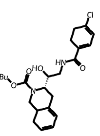 CC(C)(C)OC(=O)N1CC2CC=CC=C2C[C@H]1C(O)CNC(=O)C1=CC=C(Cl)CC1